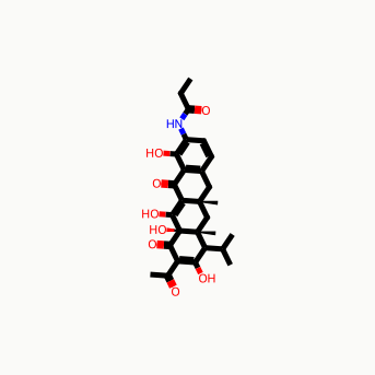 CCC(=O)Nc1ccc2c(c1O)C(=O)C1=C(O)[C@@]3(O)C(=O)C(C(C)=O)=C(O)C(C(C)C)[C@@]3(C)C[C@@]1(C)C2